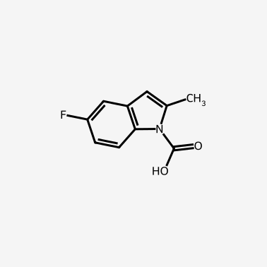 Cc1cc2cc(F)ccc2n1C(=O)O